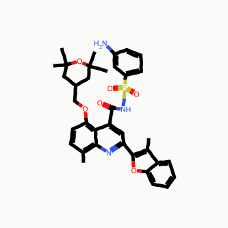 Cc1c(-c2cc(C(=O)NS(=O)(=O)c3cccc(N)c3)c3c(OCC4CC(C)(C)OC(C)(C)C4)ccc(C)c3n2)oc2ccccc12